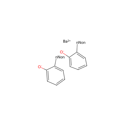 CCCCCCCCCc1ccccc1[O-].CCCCCCCCCc1ccccc1[O-].[Ba+2]